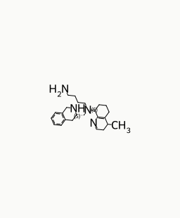 CC1CC=NC2=C1CCC[C@@H]2N(CCCCN)C[C@@H]1Cc2ccccc2CN1